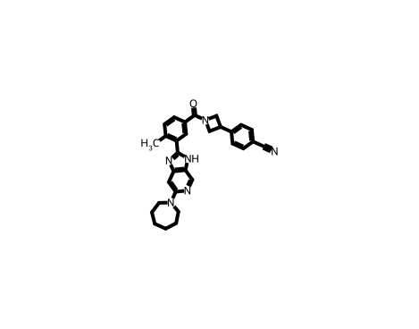 Cc1ccc(C(=O)N2CC(c3ccc(C#N)cc3)C2)cc1-c1nc2cc(N3CCCCCC3)ncc2[nH]1